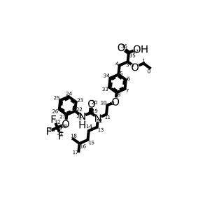 CCOC(Cc1ccc(OCCN(CCCC(C)C)C(=O)Nc2ccccc2OC(F)(F)F)cc1)C(=O)O